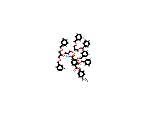 O=C(NC(COC(COCc1ccccc1)COCc1ccccc1)COC(COCc1ccccc1)COCc1ccccc1)c1ccc(C(=O)Oc2ccc([N+](=O)[O-])cc2)c(OCc2ccccc2)c1OCc1ccccc1